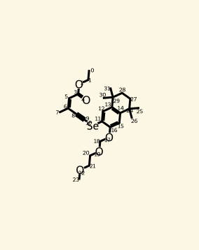 CCOC(=O)C=C(C)C#C[Se]c1cc2c(cc1OCOCCOC)C(C)(C)CCC2(C)C